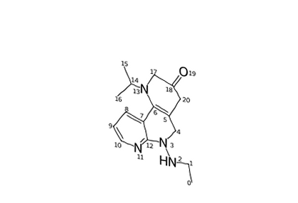 CCNN1CC2=C(c3cccnc31)N(C(C)C)CC(=O)C2